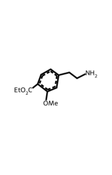 CCOC(=O)c1ccc(CCN)cc1OC